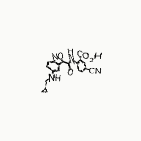 N#Cc1ccc(NC(=O)c2onc3ccc(NCC4CC4)cc23)c(C(=O)O)c1